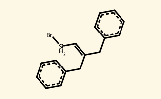 Br[SiH2]C=C(Cc1ccccc1)Cc1ccccc1